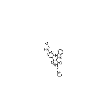 O=C(NCCN1CCCC1)c1c(=O)c2cnc(NCC3CC3)nc2n2c1sc1ccccc12